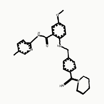 COc1ccc(NCc2ccc(C(=N)N3CCCCC3)cc2)c(C(=O)Nc2ccc(C)cn2)c1